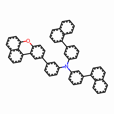 c1cc(-c2ccc3c(c2)-c2cccc4cccc(c24)O3)cc(N(c2cccc(-c3cccc4ccccc34)c2)c2cccc(-c3cccc4ccccc34)c2)c1